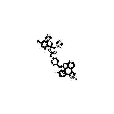 Cn1cc(-c2ccnc3c2C(=O)N(CC2CCN(CC(=O)OC(Cn4cncn4)(Cn4cncn4)c4ccc(F)cc4F)CC2)C3)c(-c2ccc(F)cc2)n1